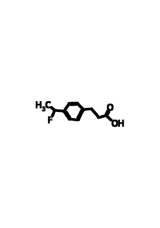 CC(F)c1ccc(CCC(=O)O)cc1